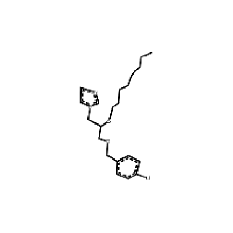 CCCCCCCCSC(COCc1ccc(Cl)cc1)Cn1ccnc1